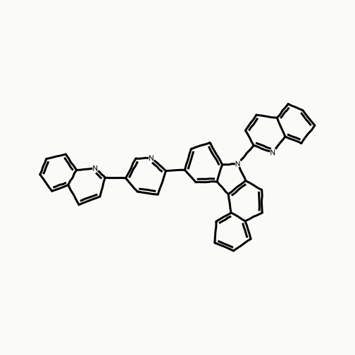 c1ccc2nc(-c3ccc(-c4ccc5c(c4)c4c6ccccc6ccc4n5-c4ccc5ccccc5n4)nc3)ccc2c1